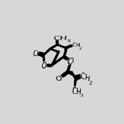 C=C(C)C(=O)OC1C(=C)C(C)C2CC1OC2=O